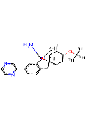 [2H]C([2H])([2H])O[C@@H]1CC[C@]2(Cc3ccc(-c4cnccn4)cc3[C@]23N=C(N)OC3([2H])[2H])C[C@H]1C